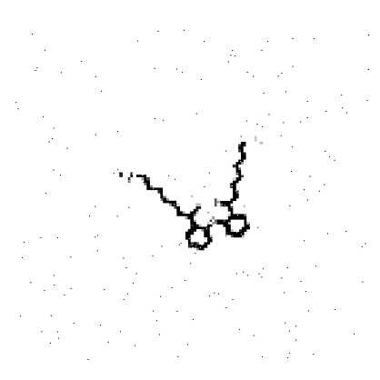 CCCCCCCC(F)c1ccccc1Oc1ccccc1C(F)CCCCCCC